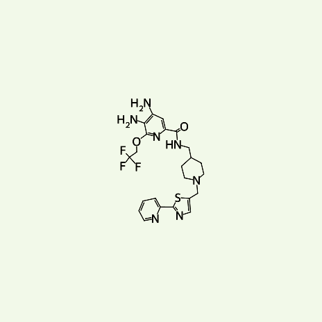 Nc1cc(C(=O)NCC2CCN(Cc3cnc(-c4ccccn4)s3)CC2)nc(OCC(F)(F)F)c1N